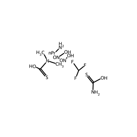 CCCN.CN(C)C(O)=S.FC(F)F.NC(O)=S.O=NO.O=NO